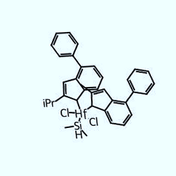 CC1=Cc2c(-c3ccccc3)cccc2[CH]1[Hf]([Cl])([Cl])([CH]1C(C(C)C)=Cc2c(-c3ccccc3)cccc21)[SiH](C)C